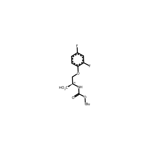 CC(C)(C)OC(=O)N[C@H](COc1ccc(F)cc1F)C(=O)O